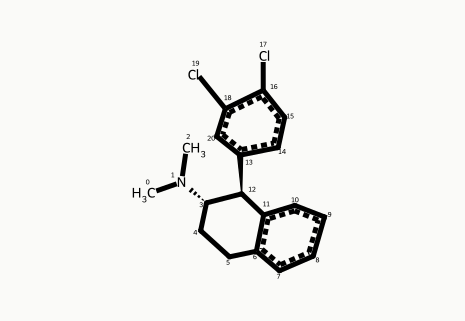 CN(C)[C@H]1CCc2ccccc2[C@@H]1c1ccc(Cl)c(Cl)c1